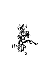 C#CCOCC#Cc1cc(NC(=N)N)ccc1C(=O)Oc1ccc(CC(=O)O)n2ncnc12